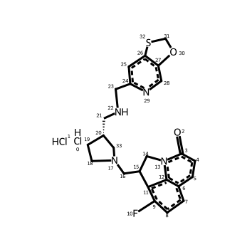 Cl.Cl.O=c1ccc2ccc(F)c3c2n1CC3CN1CC[C@H](CNCc2cc3c(cn2)OCS3)C1